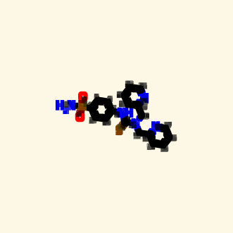 NS(=O)(=O)c1ccc(NC(=S)N(Cc2ccccn2)Cc2ccccn2)cc1